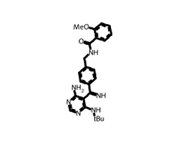 COc1ccccc1C(=O)NCc1ccc(C(=N)c2c(N)ncnc2NC(C)(C)C)cc1